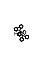 O[C@H](C1c2ccccc2-c2ccccc21)C1CCCN1C(c1ccccc1)(c1ccccc1)c1ccccc1